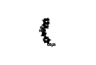 CCOC(=O)c1cnc(N2CC(NS(=O)(=O)c3ccc4ccccc4c3)C2)nc1